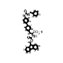 O=C(Nc1ccc(-c2ccc(CC(NC(=O)OCC3c4ccccc4-c4ccccc43)C(=O)O)cc2)cc1)OCc1ccccc1